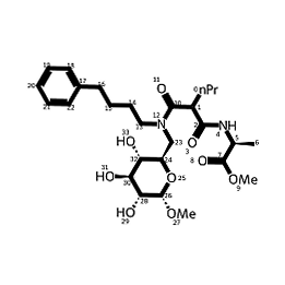 CCCC(C(=O)N[C@@H](C)C(=O)OC)C(=O)N(CCCCc1ccccc1)C[C@H]1O[C@H](OC)[C@H](O)[C@@H](O)[C@@H]1O